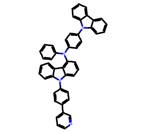 c1ccc(N(c2ccc(-n3c4ccccc4c4ccccc43)cc2)c2cccc3c2c2ccccc2n3-c2ccc(-c3cccnc3)cc2)cc1